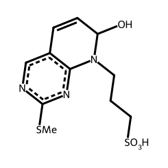 CSc1ncc2c(n1)N(CCCS(=O)(=O)O)C(O)C=C2